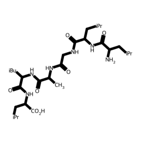 CCC(C)C(NC(=O)C(C)NC(=O)CNC(=O)C(CC(C)C)NC(=O)C(N)CC(C)C)C(=O)NC(CC(C)C)C(=O)O